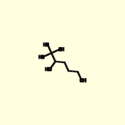 OCCCC(O)C(S)(S)S